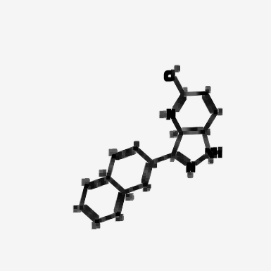 Clc1ccc2[nH]nc(-c3ccc4ccccc4c3)c2n1